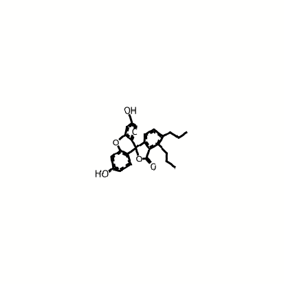 CCCc1ccc2c(c1CCC)C(=O)OC21c2ccc(O)cc2Oc2cc(O)ccc21